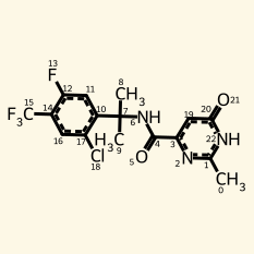 Cc1nc(C(=O)NC(C)(C)c2cc(F)c(C(F)(F)F)cc2Cl)cc(=O)[nH]1